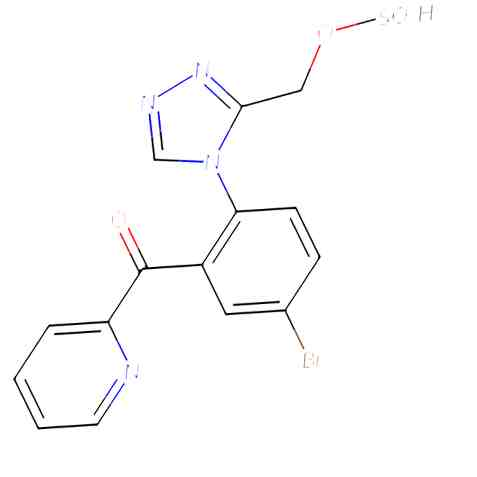 O=C(c1ccccn1)c1cc(Br)ccc1-n1cnnc1COS(=O)(=O)O